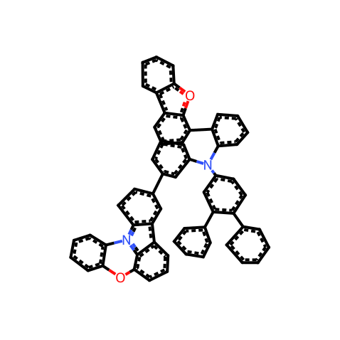 c1ccc(-c2ccc(N(c3cccc(-c4ccc5c(c4)c4cccc6c4n5-c4ccccc4O6)c3)c3ccccc3-c3cccc4c3oc3ccccc34)cc2-c2ccccc2)cc1